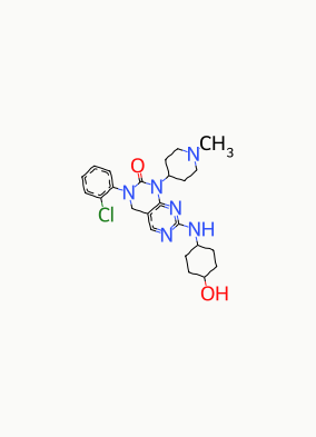 CN1CCC(N2C(=O)N(c3ccccc3Cl)Cc3cnc(NC4CCC(O)CC4)nc32)CC1